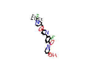 CCC(F)(CC)CN1CCC(COc2ccc(-c3ccc(C(=O)N4CCCC(O)C4)c(F)c3)nc2)CC1